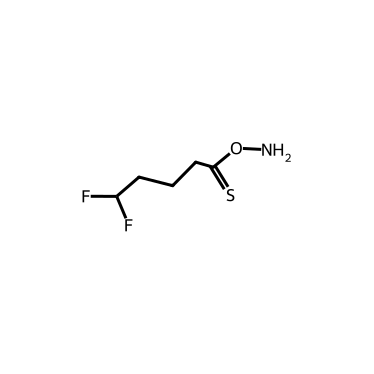 NOC(=S)CCCC(F)F